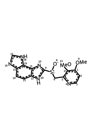 COc1ccnc(C[S+]([O-])c2nc3c(ccc4nc[nH]c43)[nH]2)c1OC